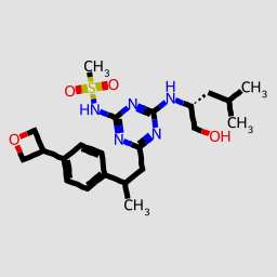 CC(C)C[C@H](CO)Nc1nc(CC(C)c2ccc(C3COC3)cc2)nc(NS(C)(=O)=O)n1